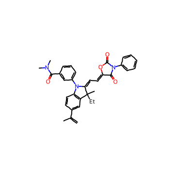 C=C(C)c1ccc2c(c1)C(C)(CC)/C(=C\C=C1/OC(=O)N(c3ccccc3)C1=O)N2c1cccc(C(=O)N(C)C)c1